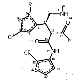 CNC[C@H](c1cc(Cl)nn1C)[C@H](C(C)=O)C(=O)Nc1ccsc1Cl